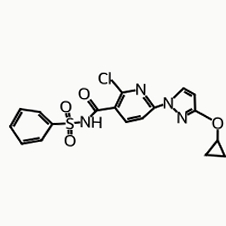 O=C(NS(=O)(=O)c1ccccc1)c1ccc(-n2ccc(OC3CC3)n2)nc1Cl